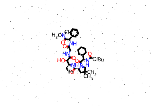 CC(C)COC(=O)N[C@H](C(=O)N1CC(C)(C)C[C@H]1C(=O)N[C@@H](CC(C)C)C(O)C(=O)NCC(=O)N[C@H](C(=O)N(C)C)c1ccccc1)C1CCCCC1